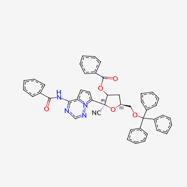 N#C[C@@]1(c2ccc3c(NC(=O)c4ccccc4)ncnn23)O[C@H](COC(c2ccccc2)(c2ccccc2)c2ccccc2)CC1OC(=O)c1ccccc1